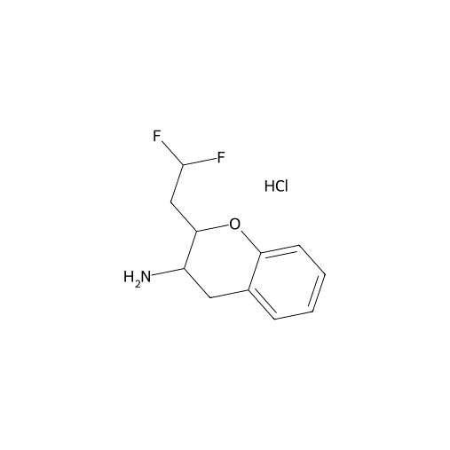 Cl.NC1Cc2ccccc2OC1CC(F)F